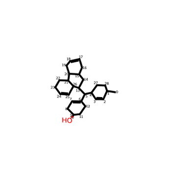 CC1C=CC(C(C2=CCC(O)CC2)C2CC3CC=CCC3C3CCC=CC32)CC1